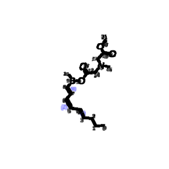 CCC/C=C/C=C\C=C\B(C)OC(=O)CN(C)CC(=O)OC